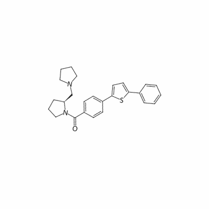 O=C(c1ccc(-c2ccc(-c3ccccc3)s2)cc1)N1CCC[C@H]1CN1CCCC1